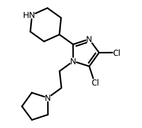 Clc1nc(C2CCNCC2)n(CCN2CCCC2)c1Cl